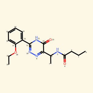 CCCC(=O)NC(C)c1nnc(-c2ccccc2OCC)[nH]c1=O